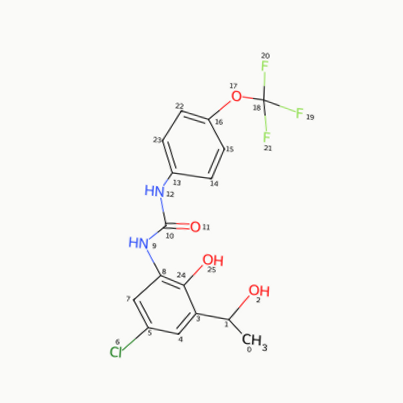 CC(O)c1cc(Cl)cc(NC(=O)Nc2ccc(OC(F)(F)F)cc2)c1O